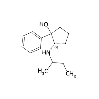 CCC(C)N[C@H]1CCCC1(O)c1ccccc1